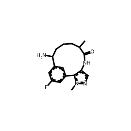 CC1CCCC(N)c2cc(F)cc(c2)-c2c(cnn2C)NC1=O